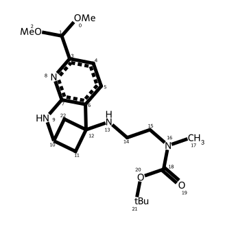 COC(OC)c1ccc2c(n1)NC1CC2(NCCN(C)C(=O)OC(C)(C)C)C1